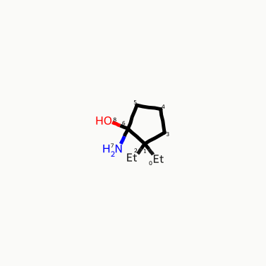 CCC1(CC)CCCC1(N)O